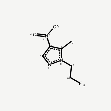 Cc1c([N+](=O)[O-])cnn1CCF